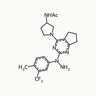 CC(=O)NC1CCN(c2nc(N(N)c3ccc(C)c(C(F)(F)F)c3)nc3c2CCC3)C1